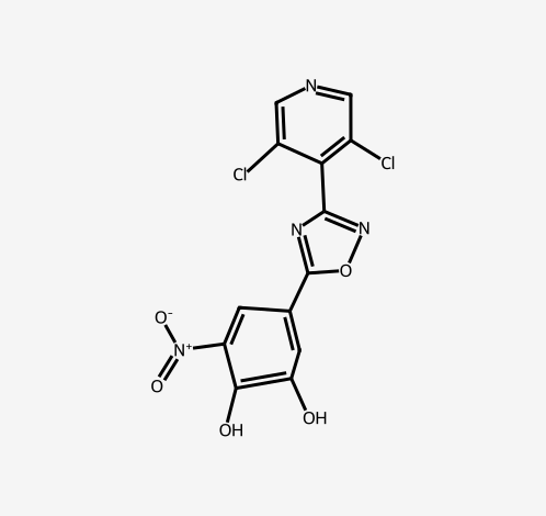 O=[N+]([O-])c1cc(-c2nc(-c3c(Cl)cncc3Cl)no2)cc(O)c1O